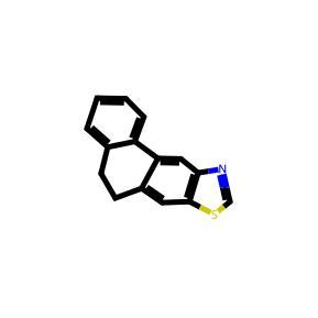 c1ccc2c(c1)CCc1cc3scnc3cc1-2